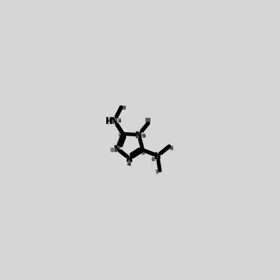 CNc1nnc(N(C)C)n1C